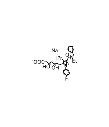 CCN(Cc1ccccc1)C(=O)c1nn(-c2ccc(F)cc2)c(CC[C@@H](O)C[C@@H](O)CC(=O)[O-])c1C(C)C.[Na+]